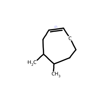 [CH2]C1C/C=C\CCCC1C